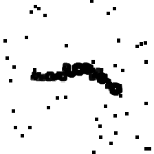 COCCOC(=O)CC1CCc2ccc(NC(=O)c3ccc(/C=N/N4CCCCC4)cc3)cc2C1